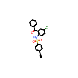 C#Cc1ccc(S(=O)(=O)Nc2ccc(Cl)cc2C(=O)c2ccccc2)cc1